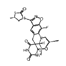 C[C@@H]1CN2c3c(cc4c(N5C[C@@H](C)SC5=O)noc4c3F)CC3(C(=O)NC(=O)NC3=O)[C@H]2[C@H](C)O1